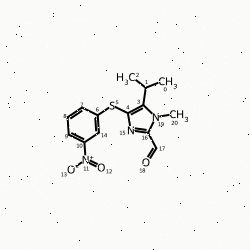 CC(C)c1c(Sc2cccc([N+](=O)[O-])c2)nc(C=O)n1C